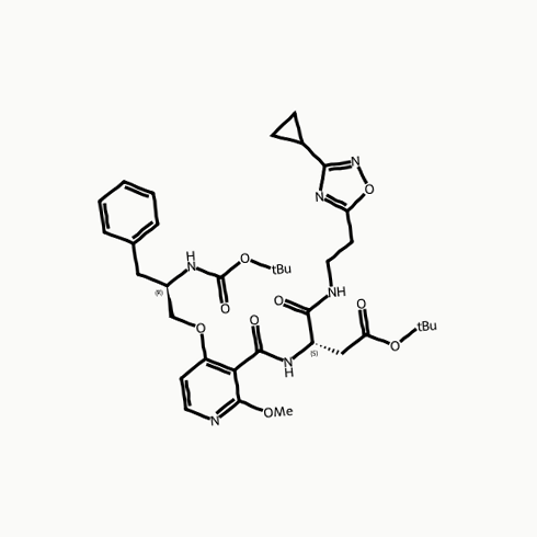 COc1nccc(OC[C@@H](Cc2ccccc2)NC(=O)OC(C)(C)C)c1C(=O)N[C@@H](CC(=O)OC(C)(C)C)C(=O)NCCc1nc(C2CC2)no1